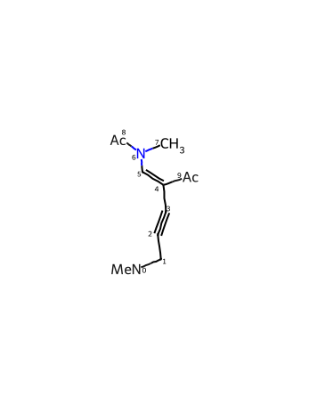 CNCC#C/C(=C/N(C)C(C)=O)C(C)=O